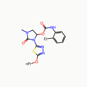 CCCOc1nnc(N2C(=O)N(C)CC2OC(=O)Nc2ccccc2CC)s1